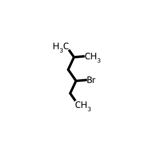 CCC(Br)CC(C)C